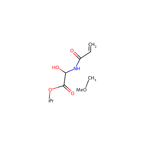 C=CC(=O)NC(O)C(=O)OC(C)C.COC